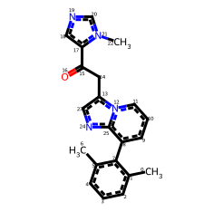 Cc1cccc(C)c1-c1cccn2c(CC(=O)c3cncn3C)cnc12